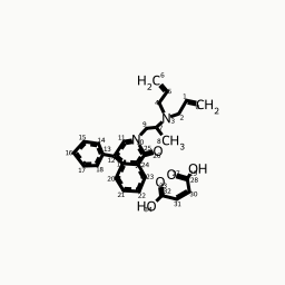 C=CCN(CC=C)C(C)Cn1cc(-c2ccccc2)c2ccccc2c1=O.O=C(O)/C=C\C(=O)O